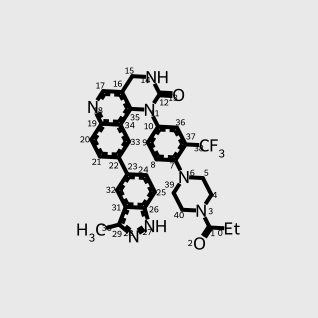 CCC(=O)N1CCN(c2ccc(N3C(=O)NCc4cnc5ccc(-c6ccc7[nH]nc(C)c7c6)cc5c43)cc2C(F)(F)F)CC1